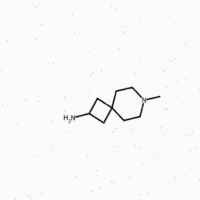 CN1CCC2(CC1)CC(N)C2